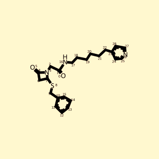 O=C(CN1C(=O)CC1SCc1ccccc1)NCCCCCCc1ccncc1